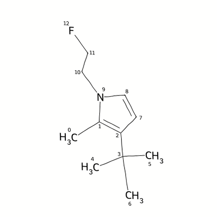 Cc1c(C(C)(C)C)ccn1CCF